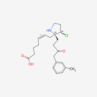 Cc1cccc(CC(=O)CC[C@@]2(C/C=C\CCCC(=O)O)NCC[C@H]2Cl)c1